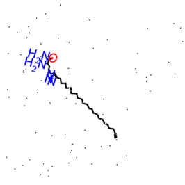 C#CCCCCCCCCCCCCCCCCCCCCCc1cn(CCC(N)C(N)=O)nn1